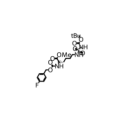 COC(=O)[C@H](CCCCNS(=O)(=O)NC(=O)OC(C)(C)C)NC(=O)OCc1ccc(F)cc1